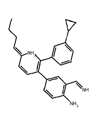 CCC/C=C(N)/C=C\C(=C(/C)c1cccc(C2CC2)c1)c1ccc(N)c(C=N)c1